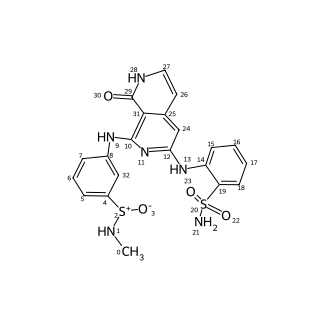 CN[S+]([O-])c1cccc(Nc2nc(Nc3ccccc3S(N)(=O)=O)cc3cc[nH]c(=O)c23)c1